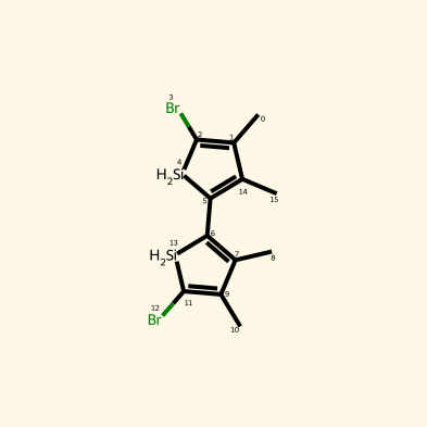 CC1=C(Br)[SiH2]C(C2=C(C)C(C)=C(Br)[SiH2]2)=C1C